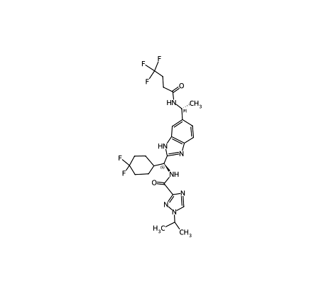 CC(C)n1cnc(C(=O)N[C@H](c2nc3ccc([C@@H](C)NC(=O)CCC(F)(F)F)cc3[nH]2)C2CCC(F)(F)CC2)n1